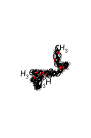 Cc1ccc(S(=O)(=O)c2ccc(Oc3ccc(C4(c5ccc(Oc6ccc(S(=O)(=O)c7ccc(-c8ccc(-c9ccc(C)cc9C(=O)c9cccc(S(=O)(=O)O)c9)cc8C(=O)c8ccc(Oc9ccccn9)cc8)cc7)cc6)cc5)C5CC6CC(C5)CC4C6)cc3)cc2)cc1